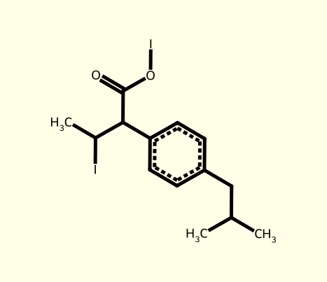 CC(C)Cc1ccc(C(C(=O)OI)C(C)I)cc1